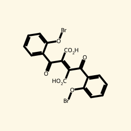 O=C(O)C(C(=O)c1ccccc1OBr)=C(C(=O)O)C(=O)c1ccccc1OBr